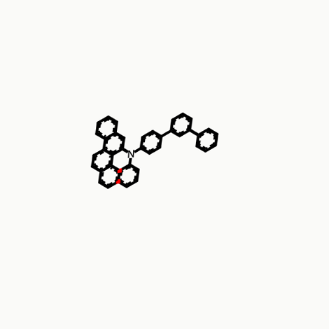 c1ccc(-c2cccc(-c3ccc(N(c4ccccc4)c4cc5ccccc5c5ccc6ccccc6c45)cc3)c2)cc1